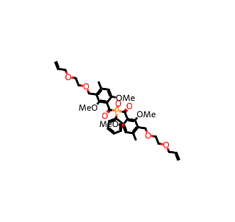 C=CCOCCOCc1c(C)cc(OC)c(C(=O)P(=O)(C(=O)c2c(OC)cc(C)c(COCCOCC=C)c2OC)c2ccccc2)c1OC